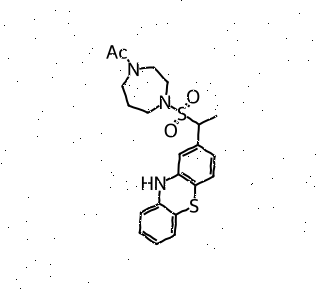 CC(=O)N1CCCN(S(=O)(=O)C(C)c2ccc3c(c2)Nc2ccccc2S3)CC1